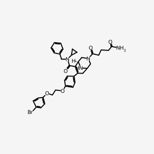 NC(=O)CCCC(=O)N1CC2CC(c3ccc(OCCOc4ccc(Br)cc4)cc3)=C(C(=O)N(Cc3ccccc3)C3CC3)[C@@H](C1)N2